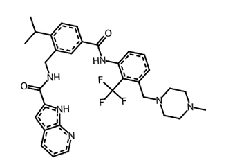 CC(C)c1ccc(C(=O)Nc2cccc(CN3CCN(C)CC3)c2C(F)(F)F)cc1CNC(=O)c1cc2cccnc2[nH]1